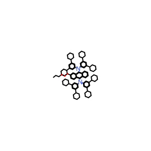 CCCCCCc1ccc2c(N(c3cc(C4CCCCC4)cc(C4CCCCC4)c3)c3cc(C4CCCCC4)cc(C4CCCCC4)c3)c3ccccc3c(N(c3cc(C4CCCCC4)cc(C4CCCCC4)c3)c3cc(C4CCCCC4)cc(C4CCCCC4)c3)c2c1